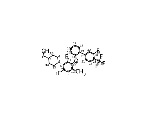 CC[C@H]1CC[C@H](c2c(F)cc(C)c(Oc3ccccc3-c3ccc(C(F)(F)F)c(F)c3)c2F)CC1